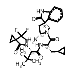 CC(C)(C)[C@H](NC(=O)C1(C(F)(F)F)CC1)C(=O)N[C@@H](CC1CC1)C(=O)N1C[C@]2(C[C@H]1N)C(=O)Nc1ccccc12